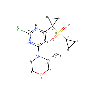 C[C@@H]1COCCN1c1cc(C2(S(=O)(=O)C3CC3)CC2)nc(Cl)n1